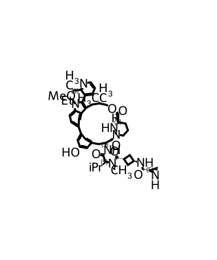 CCn1c(-c2cccnc2[C@H](C)OC)c2c3cc(ccc31)-c1cc(O)cc(c1)C[C@H](NC(=O)[C@H](C(C)C)N(C)C(=O)[C@H]1C[C@H](NC(=O)[C@@H]3CN3)C1)C(=O)N1CCC[C@H](N1)C(=O)OCC(C)(C)C2